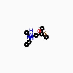 c1ccc(C2N=C(c3ccc4ccccc4c3)N=C(c3ccc(-c4cc5c6ccccc6sc5c5c4oc4ccccc45)cc3)N2)cc1